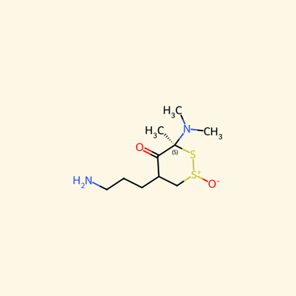 CN(C)[C@@]1(C)S[S+]([O-])CC(CCCN)C1=O